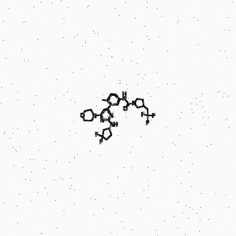 Cc1ccc(NC(=O)N2CCC(CC(F)(F)F)C2)cc1-c1cc(N2CCOCC2)nc(N[C@@H]2CCC(F)(F)C2)n1